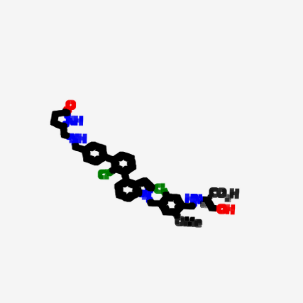 COc1cc(Cn2ccc3c(-c4cccc(-c5ccc(CNCC6CCC(=O)N6)cc5)c4Cl)cccc32)c(Cl)cc1CN[C@@H](CO)C(=O)O